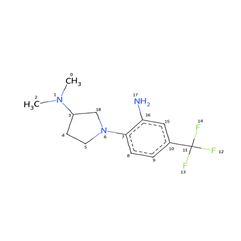 CN(C)C1CCN(c2ccc(C(F)(F)F)cc2N)C1